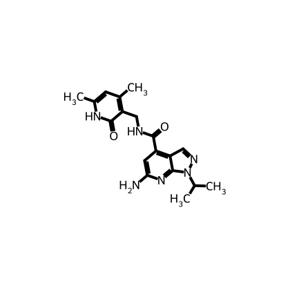 Cc1cc(C)c(CNC(=O)c2cc(N)nc3c2cnn3C(C)C)c(=O)[nH]1